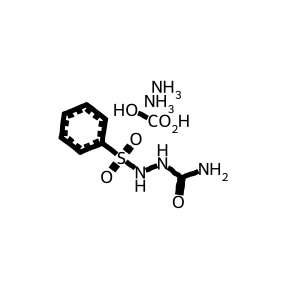 N.N.NC(=O)NNS(=O)(=O)c1ccccc1.O=C(O)O